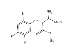 CC(C)(C)OC(=O)[C@H](Cc1cc(F)c(F)cc1Br)C(N)C(=O)O